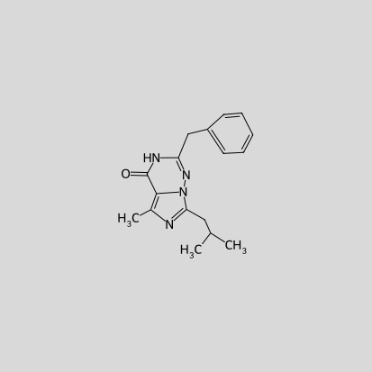 Cc1nc(CC(C)C)n2nc(Cc3ccccc3)[nH]c(=O)c12